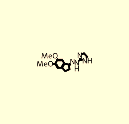 COc1cc2c(cc1OC)C(=NNC1=NCCN1)CC2